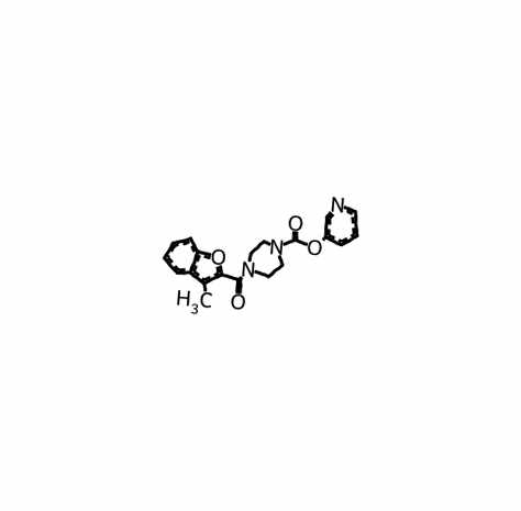 Cc1c(C(=O)N2CCN(C(=O)Oc3cccnc3)CC2)oc2ccccc12